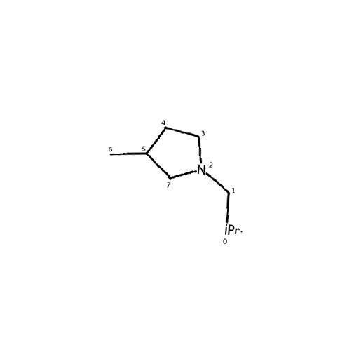 C[C](C)CN1CCC(C)C1